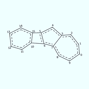 c1ccc2cc3c(c-2cc1)-c1ccccc1-3